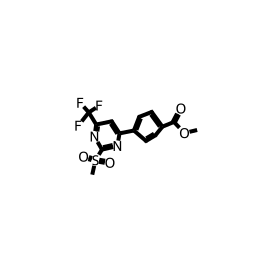 COC(=O)c1ccc(-c2cc(C(F)(F)F)nc(S(C)(=O)=O)n2)cc1